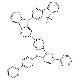 CC1(C)c2ccccc2-c2ccc(-n3c4ccccc4c4ccc(-c5ccc6c7cc(-c8ccccc8)ccc7n(-c7ccc(-c8ccccc8)cc7)c6c5)cc43)cc21